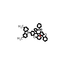 Cc1ccc2c(c1)c1cc(C)ccc1n2-c1ccc2c(c1)Oc1ccccc1C21c2ccccc2P(=O)(c2ccccc2)c2cc3oc4ccccc4c3cc21